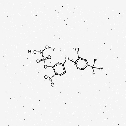 CN(C)S(=O)(=O)Oc1cc(Oc2ccc(C(F)(F)F)cc2Cl)ccc1[N+](=O)[O-]